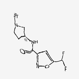 CC(C)N1CC[C@H](NC(=O)c2cc(C(F)F)on2)C1